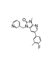 Cc1cc(-c2cnc3c(c2)n(Cc2cccnc2)c(=O)n3C)ccc1F